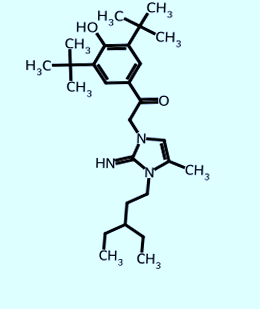 CCC(CC)CCn1c(C)cn(CC(=O)c2cc(C(C)(C)C)c(O)c(C(C)(C)C)c2)c1=N